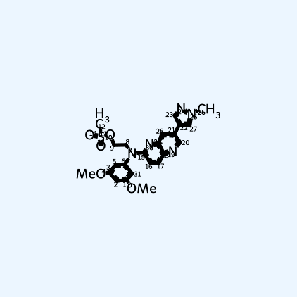 COc1cc(OC)cc(N(CCOS(C)(=O)=O)c2ccc3ncc(-c4cnn(C)c4)cc3n2)c1